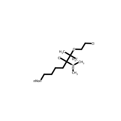 CCCCCCCCCCCCCC(Cl)([SiH](C)C)C(C)(C)OCCCl